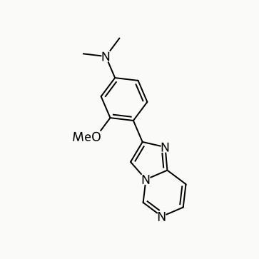 COc1cc(N(C)C)ccc1-c1cn2cnccc2n1